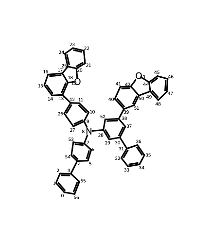 c1ccc(-c2ccc(N(c3ccc(-c4cccc5c4oc4ccccc45)cc3)c3cc(-c4ccccc4)cc(-c4ccc5oc6ccccc6c5c4)c3)cc2)cc1